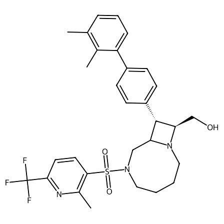 Cc1cccc(-c2ccc([C@H]3C4CN(S(=O)(=O)c5ccc(C(F)(F)F)nc5C)CCCCN4[C@@H]3CO)cc2)c1C